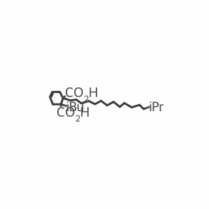 CCC(C)C1(C(=O)O)CC=CCC1(CCCCCCCCCCCCCC(C)C)C(=O)O